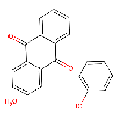 O.O=C1c2ccccc2C(=O)c2ccccc21.Oc1ccccc1